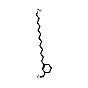 O=CC1C=C(CCCCCCCCCCCCCO)CCC1